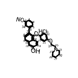 Cl.N#Cc1cccc(-c2ccc3cc(O)ccc3c2Oc2ccc(OCCN3CCCCC3)cc2)c1